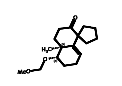 COCO[C@H]1CCC=C2C3(CCCC3)C(=O)CC[C@@]21C